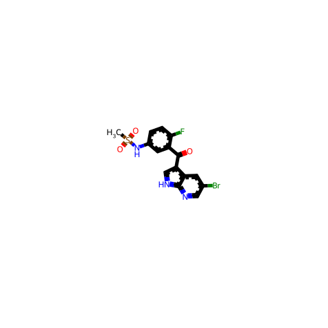 CS(=O)(=O)Nc1ccc(F)c(C(=O)c2c[nH]c3ncc(Br)cc23)c1